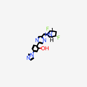 C[C@]12C[C@H](F)[C@H](C/C(=C\c3cnc(-c4ccc(-n5ccnc5)cc4O)cn3)[C@@H]1F)N2